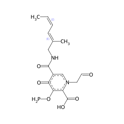 C/C=C\C=C(/C)CNC(=O)c1cn(CC=O)c(C(=O)O)c(OP)c1=O